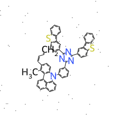 C=C/C=C\c1ccc2c(c1C)-c1cccc3cccc(c13)N2c1cccc(-c2nc(-c3ccc4sc5ccccc5c4c3)nc(-c3ccc4sc5ccccc5c4c3)n2)c1